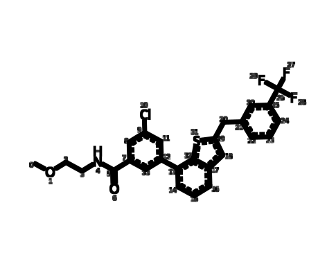 COCCNC(=O)c1cc(Cl)cc(-c2cccc3cc(Cc4cccc(C(F)(F)F)c4)sc23)c1